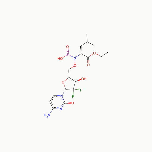 CCOC(=O)[C@H](CC(C)C)N(OC[C@H]1O[C@@H](n2ccc(N)nc2=O)C(F)(F)[C@@H]1O)[PH](=O)O